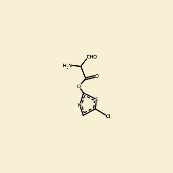 NC(C=O)C(=O)Oc1ncc(Cl)s1